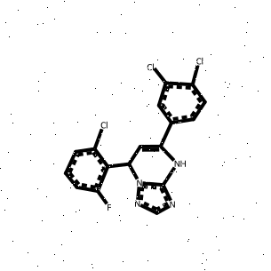 Fc1cccc(Cl)c1C1C=C(c2ccc(Cl)c(Cl)c2)Nc2ncnn21